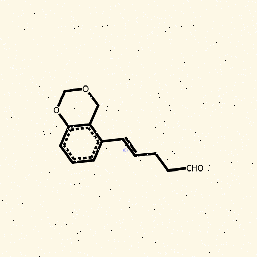 O=CCC/C=C/c1cccc2c1COCO2